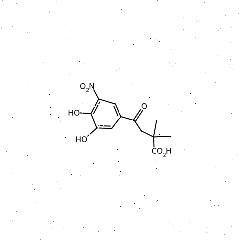 CC(C)(CC(=O)c1cc(O)c(O)c([N+](=O)[O-])c1)C(=O)O